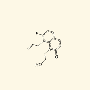 C=CCc1c(F)ccc2ccc(=O)n(CCO)c12